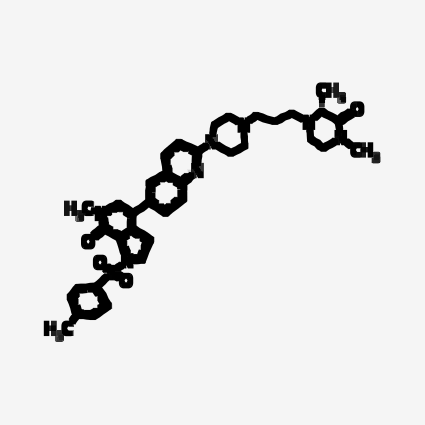 Cc1ccc(S(=O)(=O)n2ccc3c(-c4ccc5nc(N6CCN(CCCN7CCN(C)C(=O)[C@H]7C)CC6)ccc5c4)cn(C)c(=O)c32)cc1